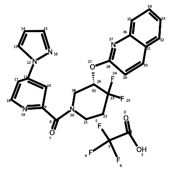 O=C(O)C(F)(F)F.O=C(c1cc(-n2cccn2)ccn1)N1CCC(F)(F)[C@@H](Oc2ccc3ccccc3n2)C1